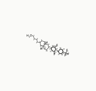 CCCCCC1CC[C@@H]2C[C@H](c3cc(F)c(-c4ccc(C(F)(F)F)cc4)c(F)c3)CC[C@@H]2C1